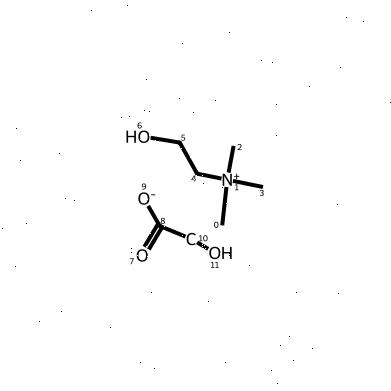 C[N+](C)(C)CCO.O=C([O-])CO